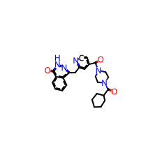 O=C(c1ccnc(Cc2n[nH]c(=O)c3ccccc23)c1)N1CCN(C(=O)C2CCCCC2)CC1